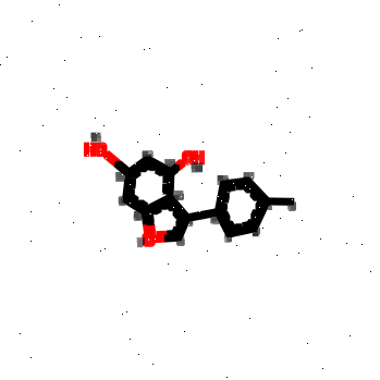 Cc1ccc(-c2coc3cc(O)cc(O)c23)cc1